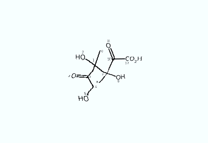 CC(O)(C(=O)CO)C(C)(O)C(=O)C(=O)O